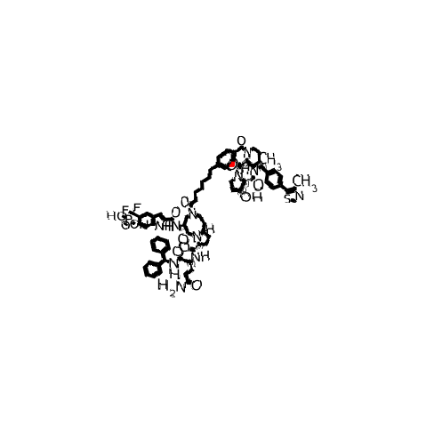 Cc1ncsc1-c1ccc([C@H](C)NC(=O)[C@@H]2[C@@H](O)CCN2C(=O)[C@@H]2CCCCN2C(=O)c2ccc(CCCCCCC(=O)N3CC[C@H]4CC[C@@H](C(=O)N[C@@H](CCC(N)=O)C(=O)NC(c5ccccc5)c5ccccc5)N4C(=O)[C@@H](NC(=O)c4cc5cc(C(F)(F)P(=O)(O)O)ccc5[nH]4)C3)cc2)cc1